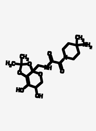 CC1(N)CCN(C(=O)C(=O)NCC23OCC(O)C(O)=C2OC(C)(C)O3)CC1